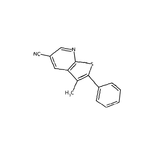 Cc1c(-c2ccccc2)sc2ncc(C#N)cc12